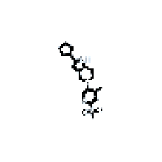 Cc1cc(S(C)(=O)=O)ncc1N1CCc2[nH]c(C3CCCC3)cc2C1